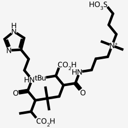 CC(C(=O)O)C(C(=O)NCCc1c[nH]cn1)C(C)(C)CC(C(=O)NCCC[N+](C)(C)CCCS(=O)(=O)O)C(C(=O)O)C(C)(C)C